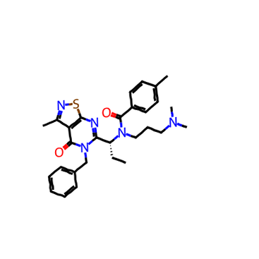 CC[C@H](c1nc2snc(C)c2c(=O)n1Cc1ccccc1)N(CCCN(C)C)C(=O)c1ccc(C)cc1